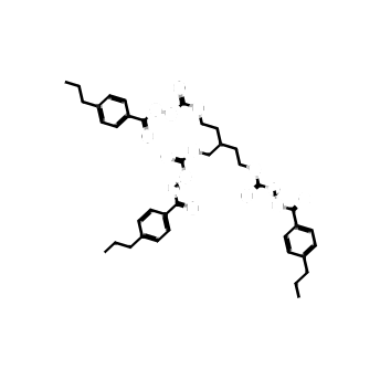 CCCc1ccc(C(=O)OOC(=O)OCCC(CCOC(=O)OOC(=O)c2ccc(CCC)cc2)COC(=O)OOC(=O)c2ccc(CCC)cc2)cc1